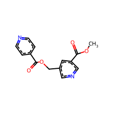 COC(=O)c1cncc(COC(=O)c2ccncc2)c1